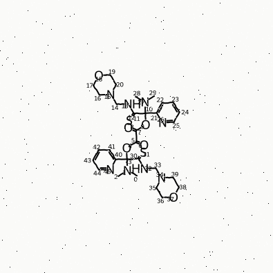 CN(C)C(OC(=O)C(=O)OC(C(=S)NCN1CCOCC1)(c1ccccn1)N(C)C)(C(=S)NCN1CCOCC1)c1ccccn1